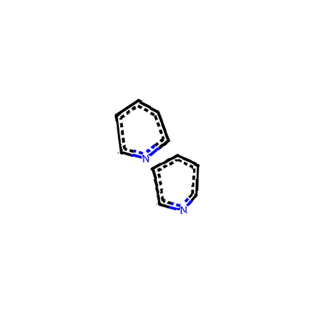 [c]1ccccn1.[c]1ccccn1